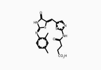 Cc1ccc(N=C2NC(=O)C(=Cc3cnc(NC(=O)CCC(=O)O)s3)S2)c(C)c1